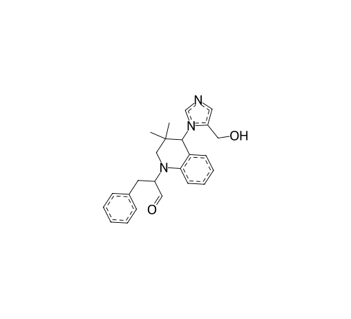 CC1(C)CN(C(C=O)Cc2ccccc2)c2ccccc2C1n1cncc1CO